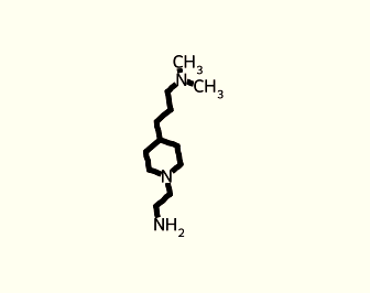 CN(C)CCCC1CCN(CCN)CC1